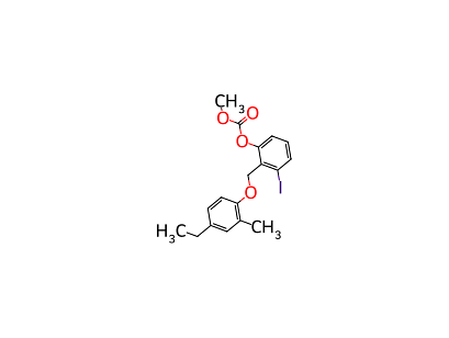 CCc1ccc(OCc2c(I)cccc2OC(=O)OC)c(C)c1